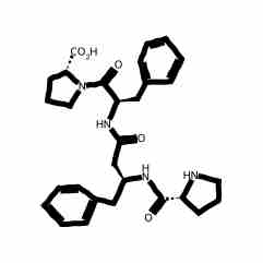 O=C(C[C@H](Cc1ccccc1)NC(=O)[C@H]1CCCN1)N[C@H](Cc1ccccc1)C(=O)N1CCC[C@@H]1C(=O)O